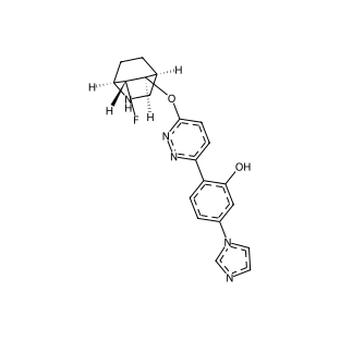 Oc1cc(-n2ccnc2)ccc1-c1ccc(O[C@@H]2[C@H]3CC[C@H](NC3)[C@H]2F)nn1